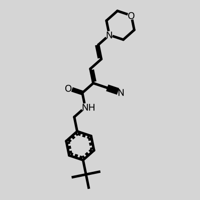 CC(C)(C)c1ccc(CNC(=O)C(C#N)=CC=CN2CCOCC2)cc1